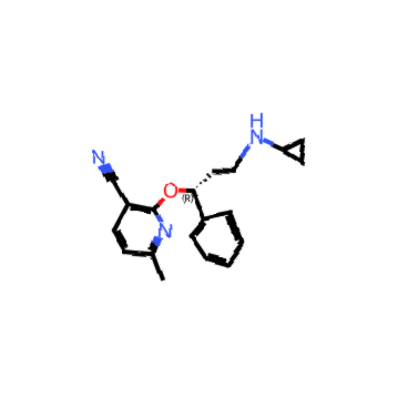 Cc1ccc(C#N)c(O[C@H](CCNC2CC2)c2ccccc2)n1